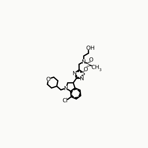 CS(=O)(=O)N(CCO)Cc1nc(C2CN(CC3CCOCC3)c3c(Cl)cccc32)ns1